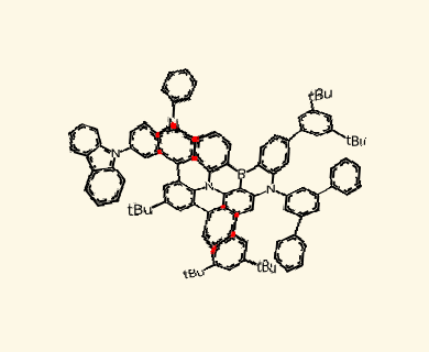 CC(C)(C)c1cc(-c2ccc3c(c2)N(c2cc(-c4ccccc4)cc(-c4ccccc4)c2)c2cc(-c4cc(C(C)(C)C)cc(C(C)(C)C)c4)cc4c2B3c2ccc(N(c3ccccc3)c3ccc(-n5c6ccccc6c6ccccc65)cc3)cc2N4c2c(-c3ccccc3)cc(C(C)(C)C)cc2-c2ccccc2)cc(C(C)(C)C)c1